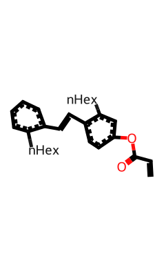 C=CC(=O)Oc1ccc(/C=C/c2ccccc2CCCCCC)c(CCCCCC)c1